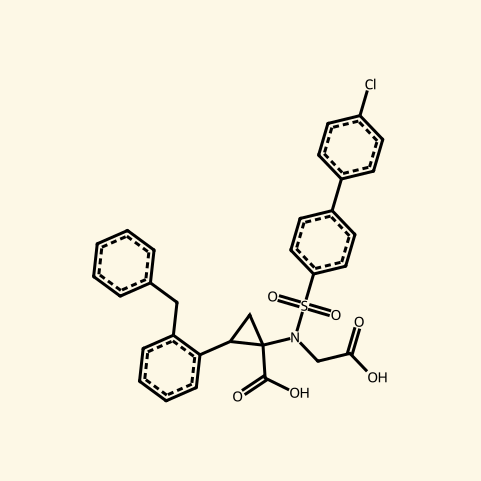 O=C(O)CN(C1(C(=O)O)CC1c1ccccc1Cc1ccccc1)S(=O)(=O)c1ccc(-c2ccc(Cl)cc2)cc1